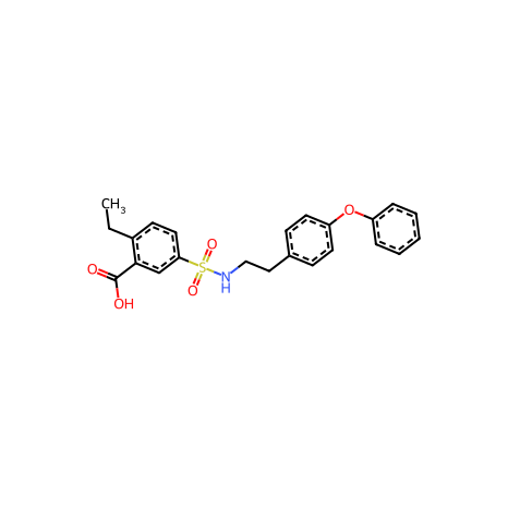 CCc1ccc(S(=O)(=O)NCCc2ccc(Oc3ccccc3)cc2)cc1C(=O)O